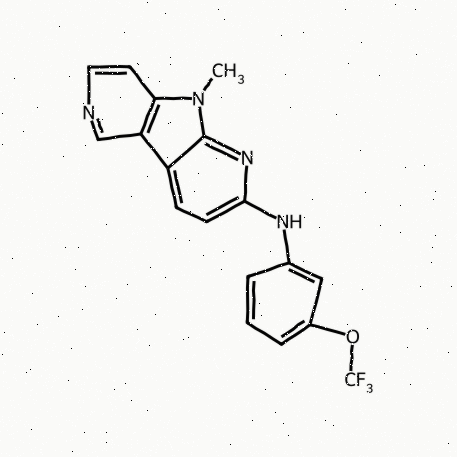 Cn1c2ccncc2c2ccc(Nc3cccc(OC(F)(F)F)c3)nc21